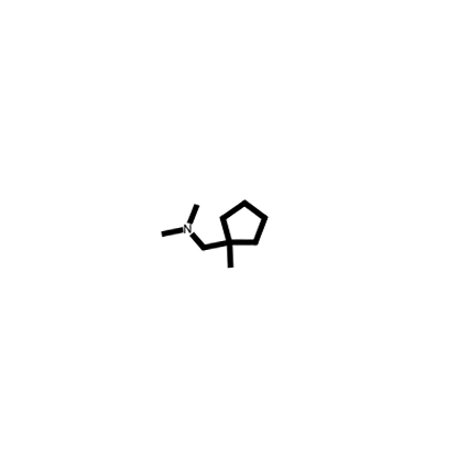 CN(C)CC1(C)CCCC1